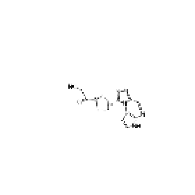 N#CCC(=O)N1CC[C@@H](c2nnc3cnc4[nH]ccc4n23)C1